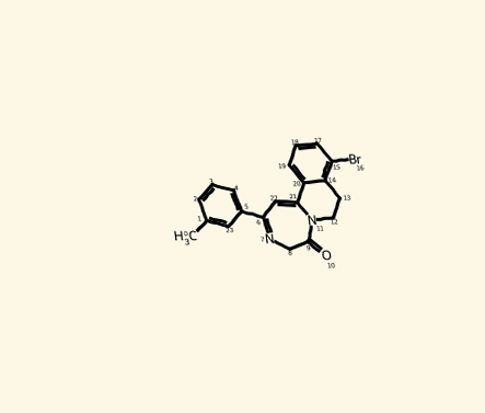 Cc1cccc(C2=NCC(=O)N3CCc4c(Br)cccc4C3=C2)c1